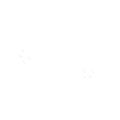 O=C(CCCCCCC(=O)ON1N=NN2CC=CC=C21)ON1N=NN2CC=CC=C21